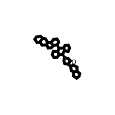 c1ccc2cc3c(ccc4c(-c5c6ccccc6c(-c6ccc7c(c6)oc6cc8ccccc8cc67)c6ccccc56)cccc43)cc2c1